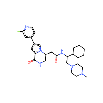 CN1CCN(C[C@@H](NC(=O)C[C@H]2CNC(=O)c3cc(-c4ccnc(F)c4)cn32)C2CCCCC2)CC1